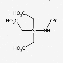 CCCN[Si](CC(=O)O)(CC(=O)O)CC(=O)O